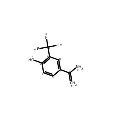 C=C(N)c1ccc(O)c(C(F)(F)F)c1